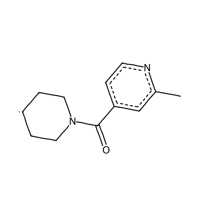 Cc1cc(C(=O)N2CC[CH]CC2)ccn1